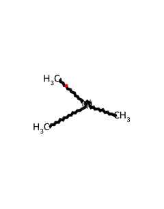 CCCCCCCCCCCCCCCCCCc1n(CCCCCCCCCCCC)cc[n+]1CCCCCCCCCCCCCCC